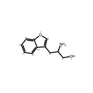 NC(CO)Cc1coc2ccccc12